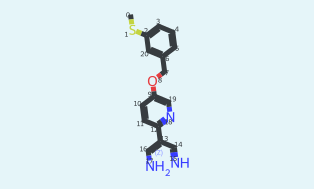 CSc1cccc(COc2ccc(/C(C=N)=C/N)nc2)c1